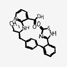 CCC(Cc1ccc(-c2ccccc2-c2nc(=O)s[nH]2)cc1)Nc1ncccc1C(=O)O